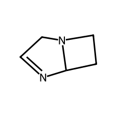 C1=NC2CCN2C1